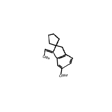 COC=C1c2cc(OC)ccc2CC12CCCC2